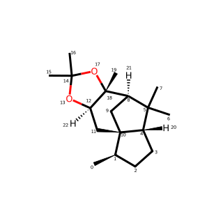 C[C@@H]1CC[C@H]2C(C)(C)[C@H]3C[C@@]12C[C@H]1OC(C)(C)O[C@]31C